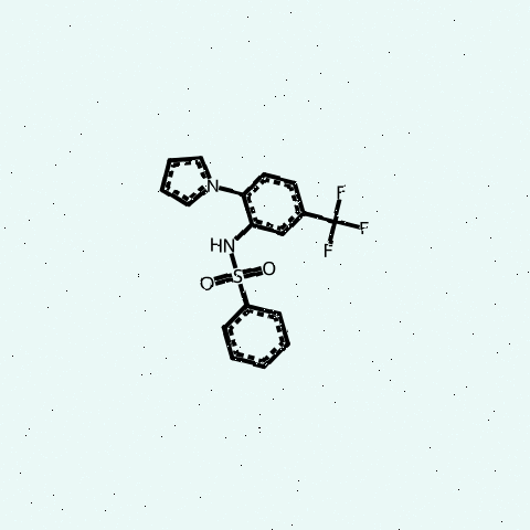 O=S(=O)(Nc1cc(C(F)(F)F)ccc1-n1cccc1)c1ccccc1